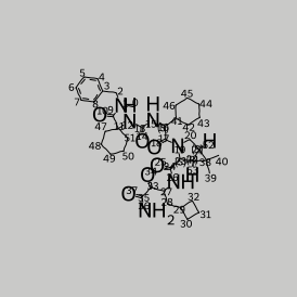 CN(Cc1ccccc1)C(=O)C1(NC(=O)N[C@H](C(=O)N2C[C@H]3[C@@H]([C@H]2C(=O)NC(CC2CCC2)C(=O)C(N)=O)C3(C)C)C2CCCCC2)CCCCC1